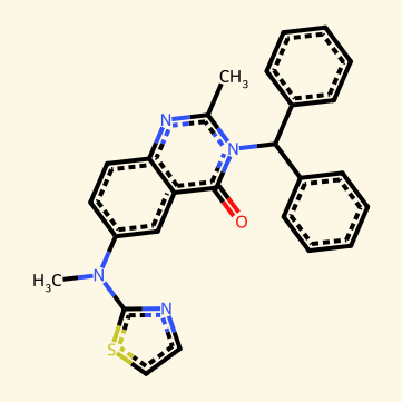 Cc1nc2ccc(N(C)c3nccs3)cc2c(=O)n1C(c1ccccc1)c1ccccc1